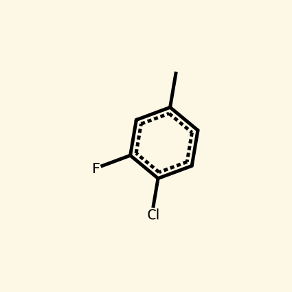 Cc1ccc(Cl)c(F)c1